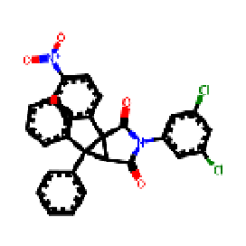 O=C1C2C(c3ccc([N+](=O)[O-])cc3)(C(=O)N1c1cc(Cl)cc(Cl)c1)C2(c1ccccc1)c1ccccc1